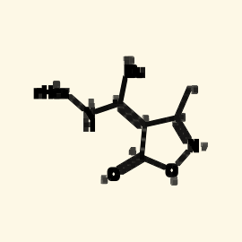 CCCCCCNC(=C1C(=O)ON=C1C)C(C)CC